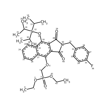 CCOP(=O)(COc1c2c(c(O[Si](C(C)C)(C(C)C)C(C)C)c3ncccc13)C(=O)N(Cc1ccc(F)cc1)C2=O)OCC